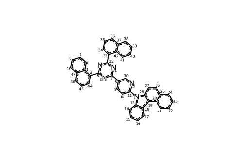 c1ccc2c(-c3nc(-c4ccc(-n5c6ccccc6c6c7ccccc7ccc65)nc4)nc(-c4cccc5ccccc45)n3)cccc2c1